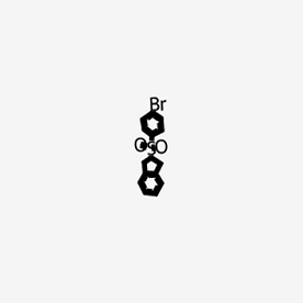 O=S(=O)(c1ccc(Br)cc1)C1Cc2ccccc2C1